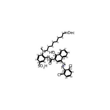 CCCCCCCCCCCCCCCCCCN(C)c1ccc(S(=O)(=O)O)cc1NC(=O)c1cc(/N=N/c2c(Cl)cccc2Cl)c2ccccc2c1O